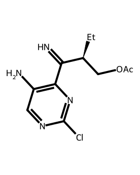 CC[C@@H](COC(C)=O)C(=N)c1nc(Cl)ncc1N